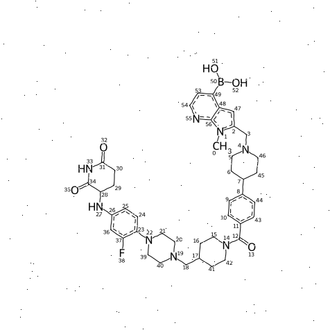 Cn1c(CN2CCC(c3ccc(C(=O)N4CCC(CN5CCN(c6ccc(NC7CCC(=O)NC7=O)cc6F)CC5)CC4)cc3)CC2)cc2c(B(O)O)ccnc21